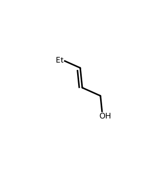 CCC=CCO